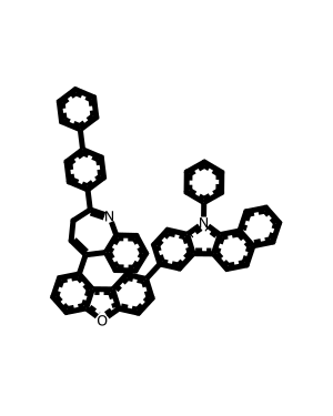 C1=C(c2cccc3oc4ccc(-c5ccc6c(c5)c5ccc7ccccc7c5n6-c5ccccc5)cc4c23)c2ccccc2N=C(c2ccc(-c3ccccc3)cc2)C1